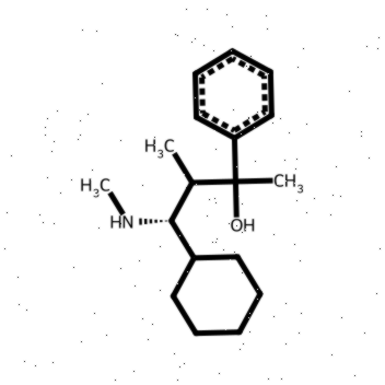 CN[C@@H](C1CCCCC1)C(C)C(C)(O)c1ccccc1